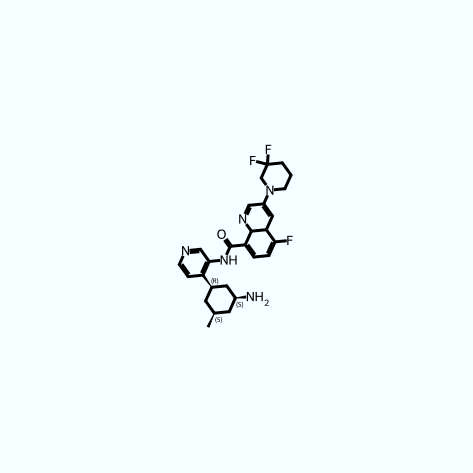 C[C@@H]1C[C@H](N)C[C@H](c2ccncc2NC(=O)C2=CC=C(F)C3C=C(N4CCCC(F)(F)C4)C=NC23)C1